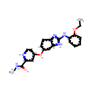 CCOc1ccccc1Nc1nc2ccc(Oc3ccnc(C(=O)NC)c3)cc2[nH]1